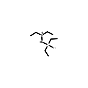 CC[SiH](CC)N[Si](Cl)(CC)CC